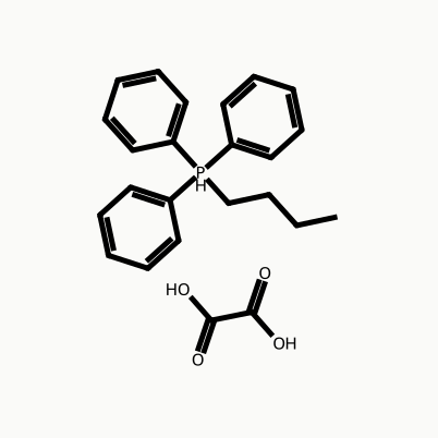 CCCC[PH](c1ccccc1)(c1ccccc1)c1ccccc1.O=C(O)C(=O)O